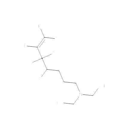 CCN(CC)CCCC(F)C(F)(F)C(F)=C(F)F